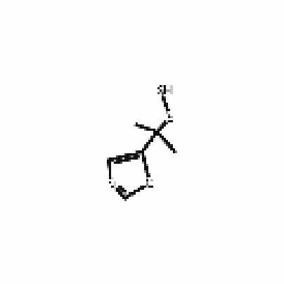 CC(C)(SS)c1cnco1